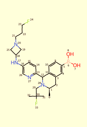 C[C@@H]1Cc2cc(B(O)O)ccc2C(c2ccc(NC3CN(CCCF)C3)cn2)N1CC(C)(C)F